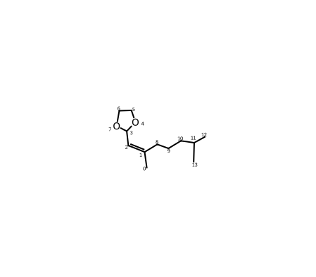 C/C(=C/C1OCCO1)CCCC(C)C